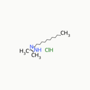 CCCCCCCCCCCc1nc(C)c(C)[nH]1.Cl